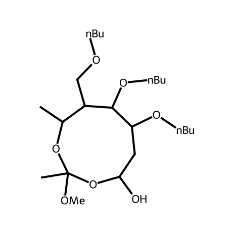 CCCCOCC1C(C)OC(C)(OC)OC(O)CC(OCCCC)C1OCCCC